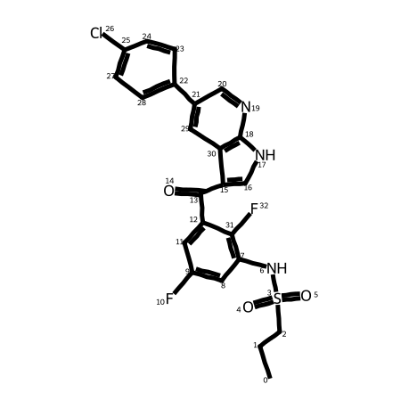 CCCS(=O)(=O)Nc1cc(F)cc(C(=O)c2c[nH]c3ncc(-c4ccc(Cl)cc4)cc23)c1F